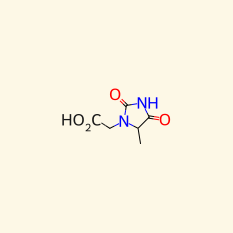 CC1C(=O)NC(=O)N1CC(=O)O